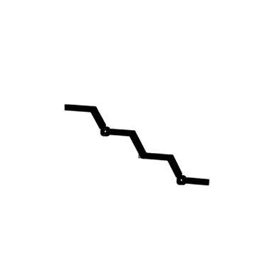 CCOC[C]COC